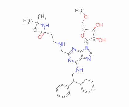 COC[C@H]1O[C@@H](n2cnc3c(NCC(c4ccccc4)c4ccccc4)nc(CNCCC(=O)NC(C)(C)C)nc32)[C@H](O)[C@@H]1O